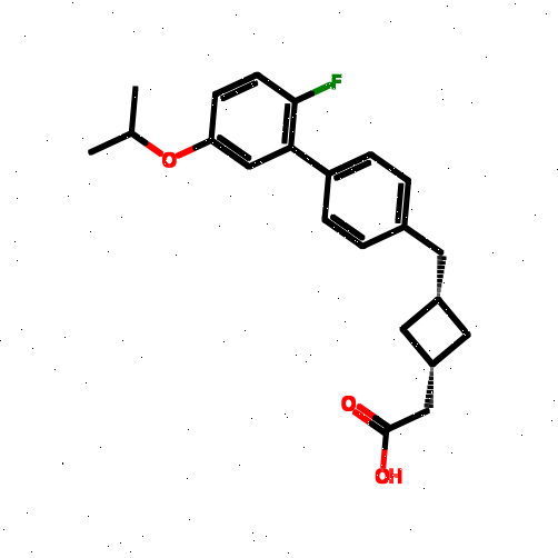 CC(C)Oc1ccc(F)c(-c2ccc(C[C@H]3C[C@@H](CC(=O)O)C3)cc2)c1